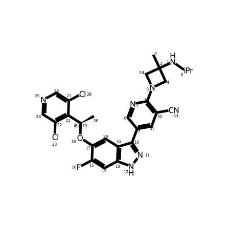 CC(C)NC1(C)CN(c2ncc(-c3n[nH]c4cc(F)c(O[C@H](C)c5c(Cl)cncc5Cl)cc34)cc2C#N)C1